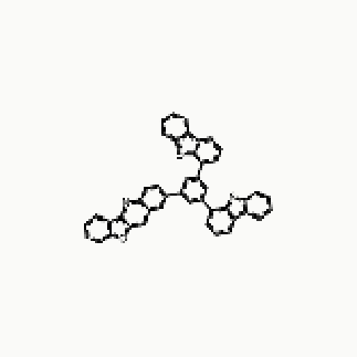 c1ccc2c(c1)oc1cc3cc(-c4cc(-c5cccc6c5sc5ccccc56)cc(-c5cccc6c5sc5ccccc56)c4)ccc3nc12